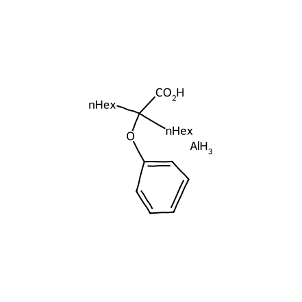 CCCCCCC(CCCCCC)(Oc1ccccc1)C(=O)O.[AlH3]